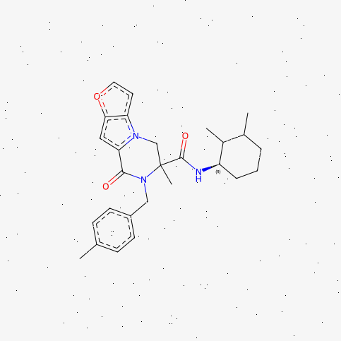 Cc1ccc(CN2C(=O)c3cc4occc4n3CC2(C)C(=O)N[C@@H]2CCCC(C)C2C)cc1